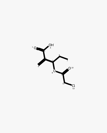 C=C(C(=O)O)C(CC)OC(=O)CCl